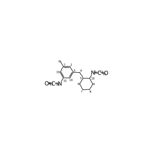 Cc1cc(CC2CCCCC2N=C=O)cc(N=C=O)c1